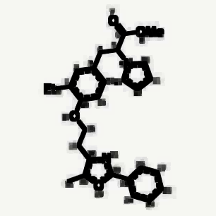 CCc1cc(CC(C(=O)OC)n2cccc2)ccc1OCCc1nc(-c2ccccc2)oc1C